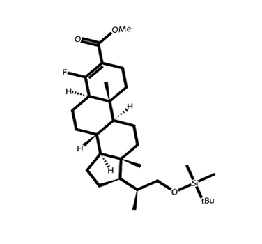 COC(=O)C1=C(F)[C@@H]2CC[C@@H]3[C@H](CC[C@]4(C)[C@@H]([C@H](C)CO[Si](C)(C)C(C)(C)C)CC[C@@H]34)[C@@]2(C)CC1